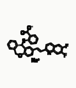 O=C([O-])c1ccccc1SC1c2ccccc2COc2ccc(C=Cc3ccc4cc(F)c(F)cc4n3)cc21.[Na+]